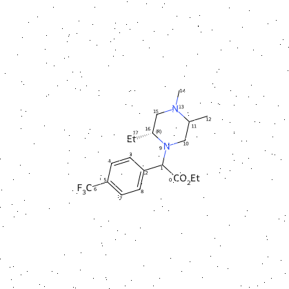 CCOC(=O)C(c1ccc(C(F)(F)F)cc1)N1CC(C)N(C)C[C@H]1CC